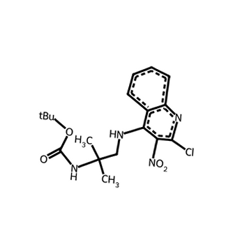 CC(C)(CNc1c([N+](=O)[O-])c(Cl)nc2ccccc12)NC(=O)OC(C)(C)C